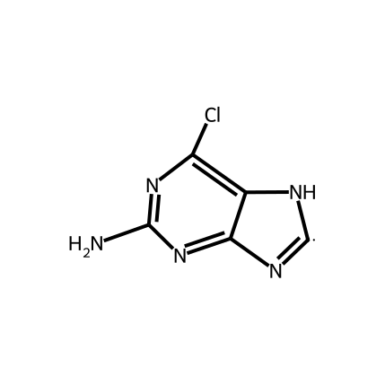 Nc1nc(Cl)c2[nH][c]nc2n1